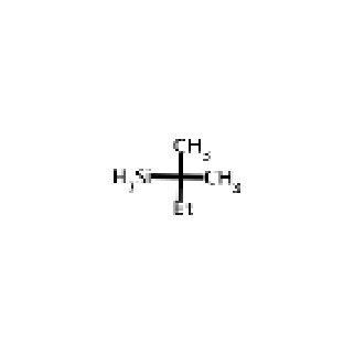 CCC(C)(C)[SiH3]